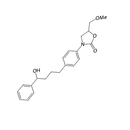 COCC1CN(c2ccc(CCCC(O)c3ccccc3)cc2)C(=O)O1